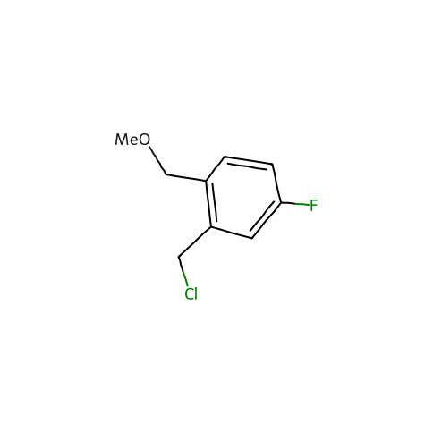 COCc1ccc(F)cc1CCl